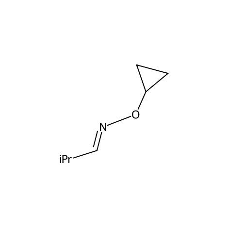 CC(C)C=NOC1CC1